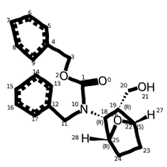 O=C(OCc1ccccc1)N(Cc1ccccc1)[C@@H]1[C@H](CO)[C@@H]2CC[C@H]1O2